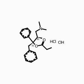 CCC(=O)O[C@](Cc1ccccc1)(c1ccccc1)[C@H](C)CN(C)C.Cl.Cl